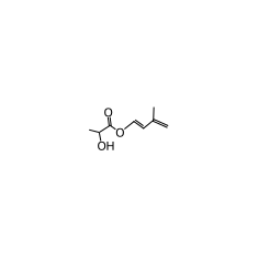 C=C(C)C=COC(=O)C(C)O